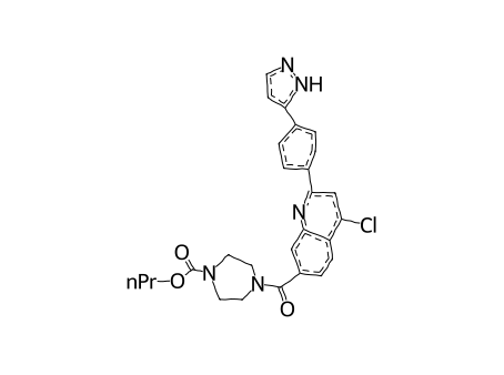 CCCOC(=O)N1CCN(C(=O)c2ccc3c(Cl)cc(-c4ccc(-c5ccn[nH]5)cc4)nc3c2)CC1